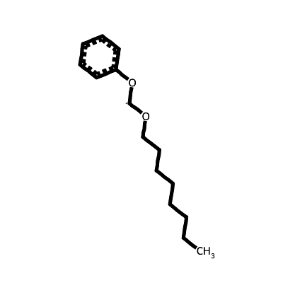 CCCCCCCCO[CH]Oc1ccccc1